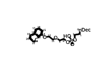 CCCCCCCCCCCCOP(=O)(O)OCCOCCOc1cccc2ccccc12